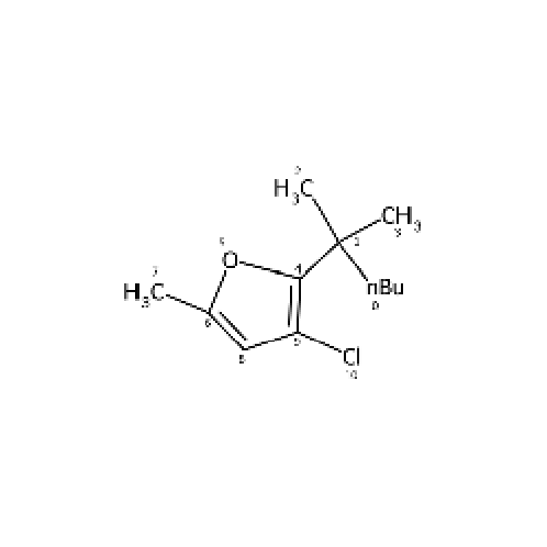 CCCCC(C)(C)c1oc(C)cc1Cl